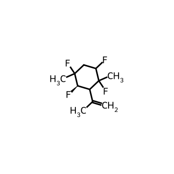 C=C(C)C1[C@@H](F)C(C)(F)CC(F)C1(C)F